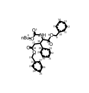 CCCCOC(=O)NC(C(=O)OCc1ccccc1)C(CC(=O)OCc1ccccc1)c1ccccc1